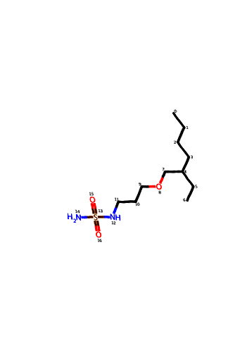 CCCCC(CC)COCCCNS(N)(=O)=O